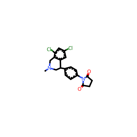 CN1Cc2c(Cl)cc(Cl)cc2C(c2ccc(N3C(=O)CCC3=O)cc2)C1